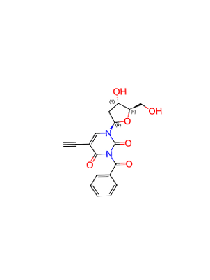 C#Cc1cn([C@H]2C[C@H](O)[C@@H](CO)O2)c(=O)n(C(=O)c2ccccc2)c1=O